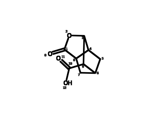 O=C1OC2C3CC(CC13)C2C(=O)O